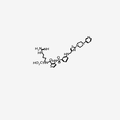 N=C(N)NCCC[C@H](NC(=O)c1sccc1NS(=O)(=O)c1cccc(NCc2csc(N3CCN(c4cccnc4)CC3)n2)c1)C(=O)O